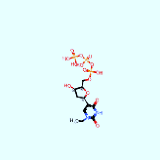 CCn1cc([C@H]2C[C@@H](O)[C@@H](COP(=O)(O)OP(=O)(O)OP(=O)(O)O)O2)c(=O)[nH]c1=O